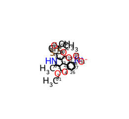 CCOC(=O)C1=C(C)NC(C(SC)SC(C)=O)=C(C(=O)OCC)C1c1cccc([N+](=O)[O-])c1